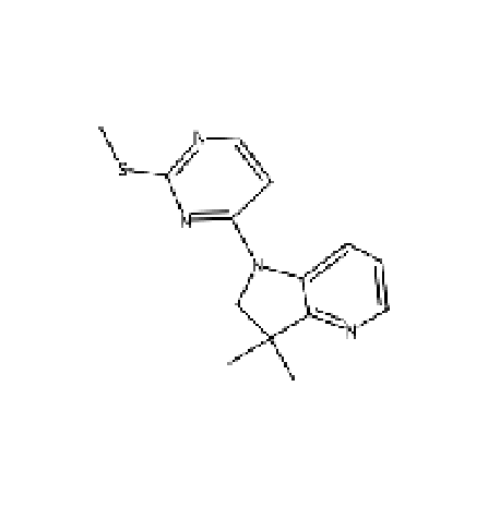 CSc1nccc(N2CC(C)(C)c3ncccc32)n1